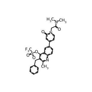 Cc1nc2ccc(-c3ccn(CC(=O)N(C)C)c(=O)c3)cc2c(OS(=O)(=O)C(F)(F)F)c1Cc1ccccc1